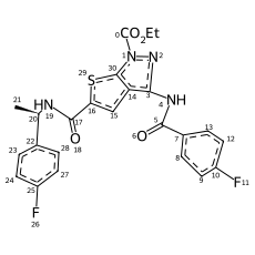 CCOC(=O)n1nc(NC(=O)c2ccc(F)cc2)c2cc(C(=O)N[C@H](C)c3ccc(F)cc3)sc21